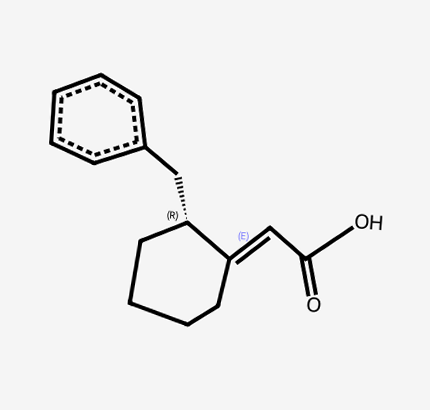 O=C(O)/C=C1\CCCC[C@@H]1Cc1ccccc1